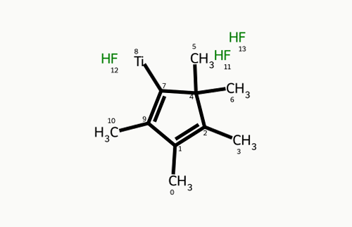 CC1=C(C)C(C)(C)[C]([Ti])=C1C.F.F.F